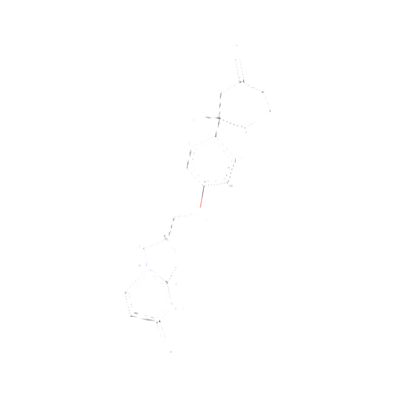 CC1(c2ccc(OCC3Cn4ccc(=O)nc4O3)cc2)CCCC(=O)C1